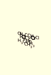 CC(C)(C)C(C(=O)C(c1ccc(Cl)cc1)C(C)(C)C)c1ccc(Cl)cc1